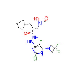 O=CN(O)C[C@@H](CC1CCCC1)C(=O)NNc1nc(Cl)nc(N2CC(F)(F)C2)c1F